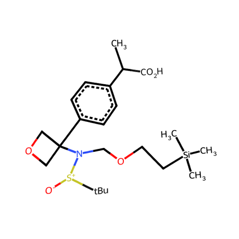 CC(C(=O)O)c1ccc(C2(N(COCC[Si](C)(C)C)[S+]([O-])C(C)(C)C)COC2)cc1